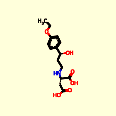 CCOc1ccc([C@@H](O)CCN[C@@H](CC(=O)O)C(=O)O)cc1